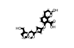 COC(Cn1nncc1CO)N1CC(Oc2ccc3c(c2C(=O)O)OB(O)CC3)C1